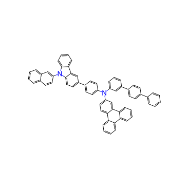 c1ccc(-c2ccc(-c3cccc(N(c4ccc(-c5ccc6c(c5)c5ccccc5n6-c5ccc6ccccc6c5)cc4)c4ccc5c6ccccc6c6ccccc6c5c4)c3)cc2)cc1